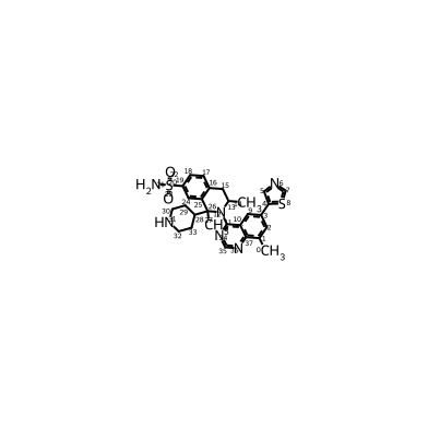 Cc1cc(-c2cncs2)cc2c(N3C(C)Cc4ccc(S(N)(=O)=O)cc4C3(C)C3CCNCC3)ncnc12